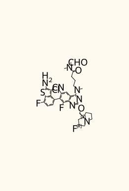 CN(C=O)C(=O)CCCN(C)c1nc(OC[C@@]23CCCN2C[C@H](F)C3)nc2c(F)c(-c3ccc(F)c4sc(N)c(C#N)c34)c(Cl)cc12